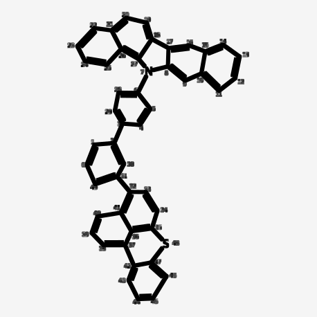 c1cc(-c2ccc(-n3c4cc5ccccc5cc4c4ccc5ccccc5c43)cc2)cc(-c2ccc3c4c(cccc24)-c2ccccc2S3)c1